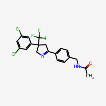 CC(=O)NCc1ccc(C2=NCC(c3cc(Cl)cc(Cl)c3)(C(F)(F)F)C2)cc1